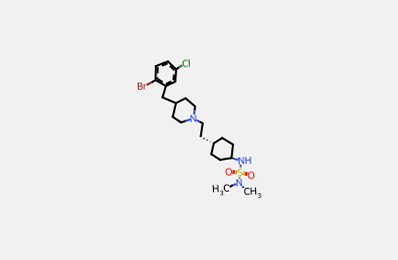 CN(C)S(=O)(=O)N[C@H]1CC[C@H](CCN2CCC(Cc3cc(Cl)ccc3Br)CC2)CC1